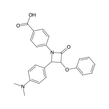 CN(C)c1ccc(C2C(Oc3ccccc3)C(=O)N2c2ccc(C(=O)O)cc2)cc1